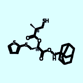 C[C@H](CS)C(=O)O[C@@H](CSc1cccs1)C(=O)ONC12CC3CC(CC(C3)C1)C2